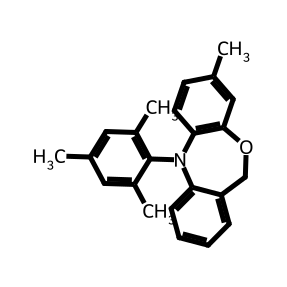 Cc1cc(C)c(N2c3ccccc3COc3cc(C)ccc32)c(C)c1